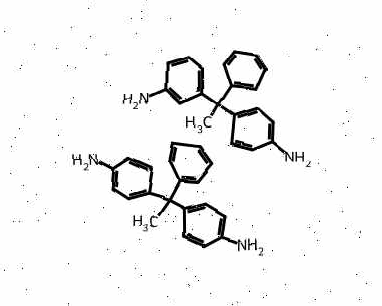 CC(c1ccccc1)(c1ccc(N)cc1)c1ccc(N)cc1.CC(c1ccccc1)(c1ccc(N)cc1)c1cccc(N)c1